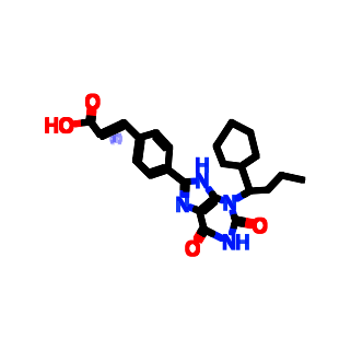 CCCC(C1CCCCC1)n1c(=O)[nH]c(=O)c2nc(-c3ccc(/C=C/C(=O)O)cc3)[nH]c21